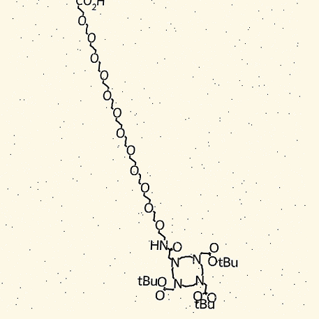 CC(C)(C)OC(=O)CN1CCN(CC(=O)NCCOCCOCCOCCOCCOCCOCCOCCOCCOCCOCCOCCOCCC(=O)O)CCN(CC(=O)OC(C)(C)C)CCN(CC(=O)OC(C)(C)C)CC1